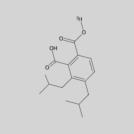 [2H]OC(=O)c1ccc(CC(C)C)c(CC(C)C)c1C(=O)O